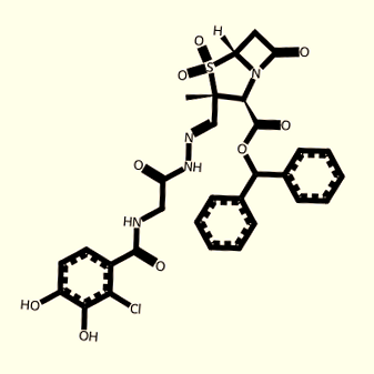 C[C@]1(/C=N/NC(=O)CNC(=O)c2ccc(O)c(O)c2Cl)[C@H](C(=O)OC(c2ccccc2)c2ccccc2)N2C(=O)C[C@H]2S1(=O)=O